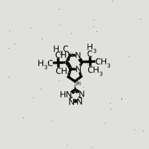 C[C@@H]1N=C(C(C)(C)C)N2C[C@H](c3nnn[nH]3)CC2=C1C(C)(C)C